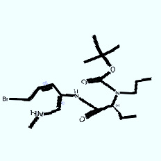 CCCN(C(=O)OC(C)(C)C)[C@@H](CC)C(=O)NC(/C=C\CBr)=C/NC